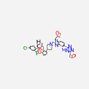 CC1(c2ccc(Cl)cc2F)Oc2cccc(C3CCN(Cc4nc5cc(-c6nnc(C7CCO7)[nH]6)ccc5n4CC4CCO4)CC3)c2O1